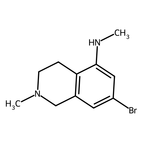 CNc1cc(Br)cc2c1CCN(C)C2